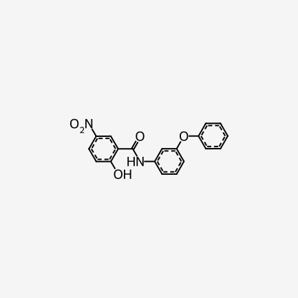 O=C(Nc1cccc(Oc2ccccc2)c1)c1cc([N+](=O)[O-])ccc1O